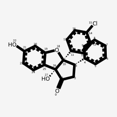 O=C1C[C@@H](c2ccccc2)[C@]2(c3ccc(Cl)cc3)Oc3cc(O)ccc3[C@]12O